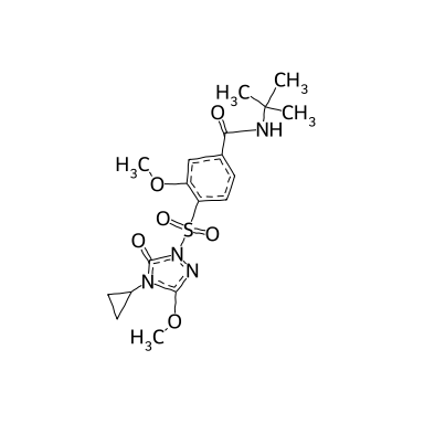 COc1cc(C(=O)NC(C)(C)C)ccc1S(=O)(=O)n1nc(OC)n(C2CC2)c1=O